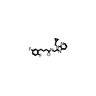 O=C(CCCc1cc(F)ccc1F)[N]Cc1nc2cccnc2n1CC1CC1